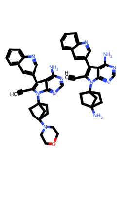 C#Cc1c(-c2cnc3ccccc3c2)c2c(N)ncnc2n1C12CCC(N)(CC1)C2.C#Cc1c(-c2cnc3ccccc3c2)c2c(N)ncnc2n1C12CCC(N3CCOCC3)(CC1)C2